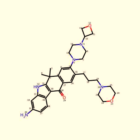 CC1(C)c2cc(N3CCN(C4COC4)CC3)c(CCCN3CCOCC3)cc2C(=O)c2c1[nH]c1cc(N)ccc21